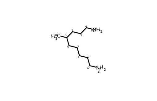 CC(CCCN)CCCCCN